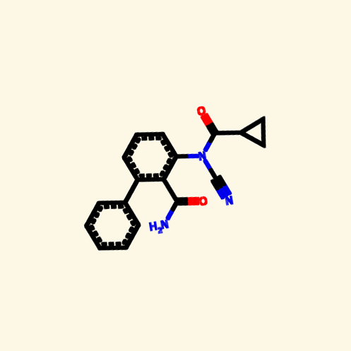 N#CN(C(=O)C1CC1)c1cccc(-c2ccccc2)c1C(N)=O